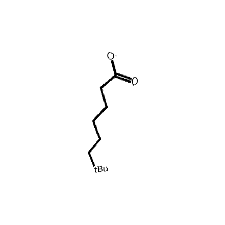 CC(C)(C)CCCCCC([O])=O